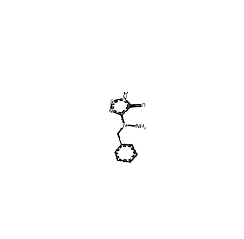 NN(Cc1ccccc1)c1ns[nH]c1=O